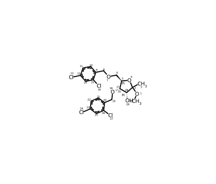 COC1(C)O[C@H](COCc2ccc(Cl)cc2Cl)[C@@H](OCc2ccc(Cl)cc2Cl)[C@H]1O